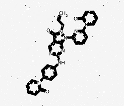 C=CCn1c(=O)c2cnc(Nc3ccc(-n4ccccc4=O)cc3)nc2n1-c1cccc(-n2ccccc2=O)n1